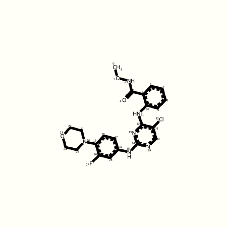 CONC(=O)c1ccccc1Nc1nc(Nc2ccc(N3CCOCC3)c(F)c2)ncc1Cl